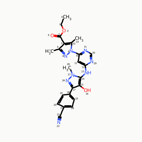 CCOC(=O)c1c(C)nn(-c2cc(Nc3c(O)c(-c4ccc(C#N)cc4)nn3C)ncn2)c1C